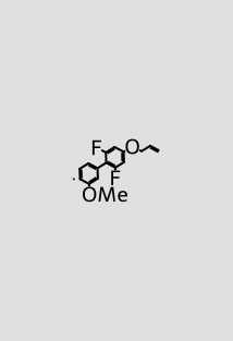 C=CCOc1cc(F)c(-c2cc[c]c(OC)c2)c(F)c1